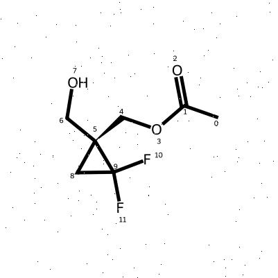 CC(=O)OC[C@]1(CO)CC1(F)F